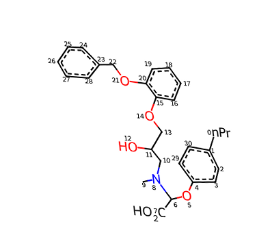 CCCc1ccc(OC(C(=O)O)N(C)CC(O)COc2ccccc2OCc2ccccc2)cc1